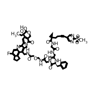 CC[C@@]1(O)C(=O)OCc2c1cc1n(c2=O)Cc2c-1nc1cc(F)c3c(c1c2CNC(=O)COCNC(=O)CNC(=O)[C@H](Cc1ccccc1)NC(=O)CNC(=O)CNC(=O)C1(CCC#Cc2cnc(S(C)(=O)=O)nc2)CC1)CCC3